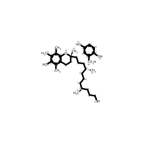 Cc1c(C)c2c(c(C)c1O)CC[C@@](C)(CCC[C@H](C)CCC[C@H](C)CCCC(C)C)O2.O=C(O)c1cc(O)ccc1O